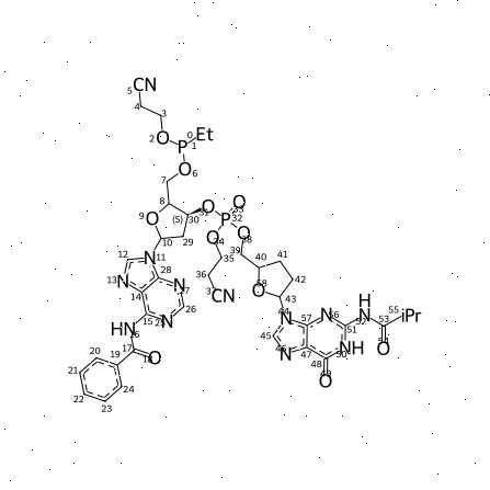 CCP(OCCC#N)OCC1OC(n2cnc3c(NC(=O)c4ccccc4)ncnc32)C[C@@H]1OP(=O)(OCCC#N)OCC1CCC(n2cnc3c(=O)[nH]c(NC(=O)C(C)C)nc32)O1